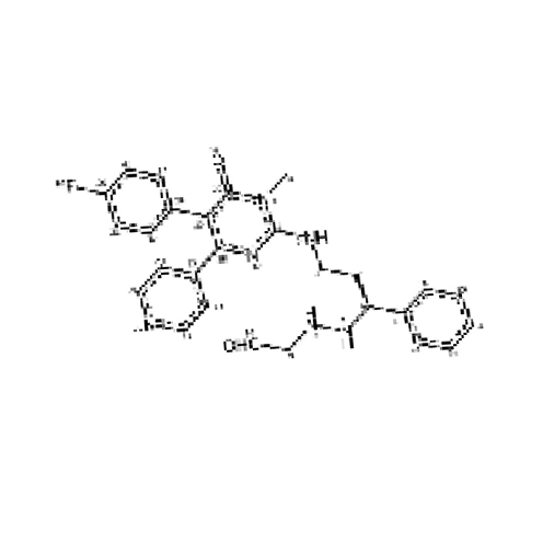 Cn1c(NCC[C@H](NNCC=O)c2ccccc2)nc(-c2ccncc2)c(-c2ccc(F)cc2)c1=O